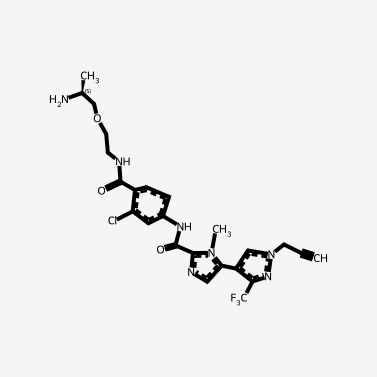 C#CCn1cc(-c2cnc(C(=O)Nc3ccc(C(=O)NCCOC[C@H](C)N)c(Cl)c3)n2C)c(C(F)(F)F)n1